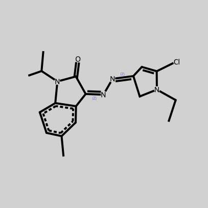 CCN1C/C(=N\N=C2/C(=O)N(C(C)C)c3ccc(C)cc32)C=C1Cl